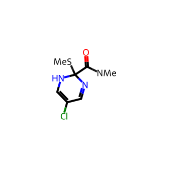 CNC(=O)C1(SC)N=CC(Cl)=CN1